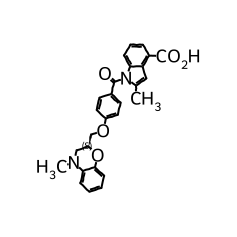 Cc1cc2c(C(=O)O)cccc2n1C(=O)c1ccc(OC[C@@H]2CN(C)c3ccccc3O2)cc1